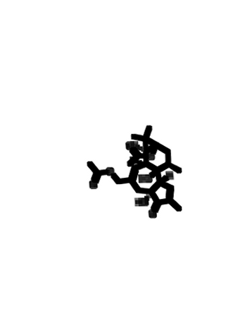 CC(=O)OCC1=C[C@H]2[C@H]3C(C)(C)[C@]3(OC(C)=O)C[C@@H](C)[C@]2(O)[C@@H]2C=C(C)C(=O)[C@@]2(O)C1